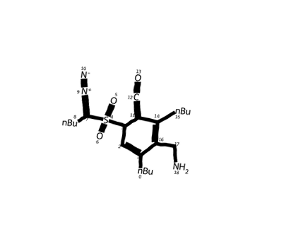 CCCCC1=CC(S(=O)(=O)C(CCCC)=[N+]=[N-])C(=C=O)C(CCCC)=C1CN